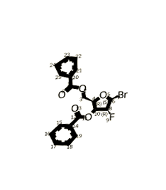 O=C(OC[C@H]1O[C@@H](Br)[C@H](F)C1OC(=O)c1ccccc1)c1ccccc1